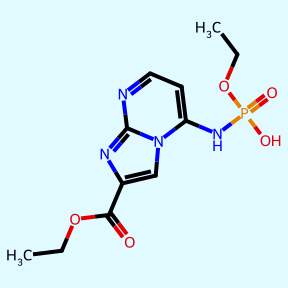 CCOC(=O)c1cn2c(NP(=O)(O)OCC)ccnc2n1